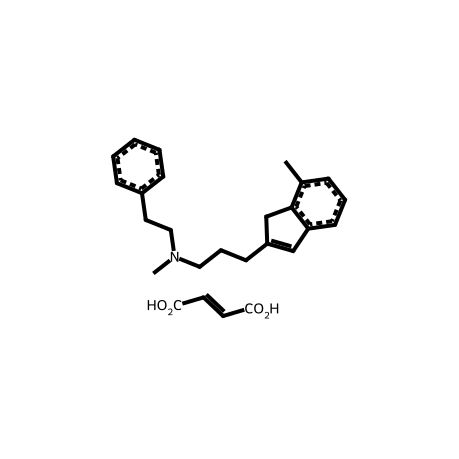 Cc1cccc2c1CC(CCCN(C)CCc1ccccc1)=C2.O=C(O)/C=C/C(=O)O